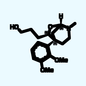 COc1cccc([C@@]23CCN(C)[C@@H](C2)O[C@@H]3CCCO)c1OC